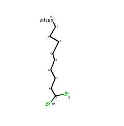 CCCCCCCCCCCCCCC(Br)Br